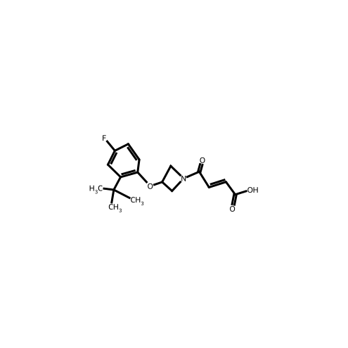 CC(C)(C)c1cc(F)ccc1OC1CN(C(=O)C=CC(=O)O)C1